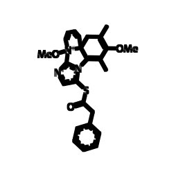 COC1=C(C)CC23C=CC=C[N+]2(OC)c2ncc(SC(=O)Cc4ccccc4)n2C3=C1C